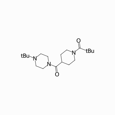 CC(C)(C)C(=O)N1CCC(C(=O)N2CCN(C(C)(C)C)CC2)CC1